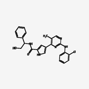 Cc1cnc(Nc2ccccc2Cl)nc1-c1c[nH]c(C(=O)NC(CO)c2ccccc2)c1